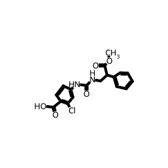 COC(=O)C(CNC(=O)Nc1ccc(C(=O)O)c(Cl)c1)c1ccccc1